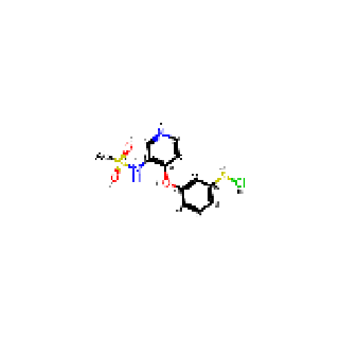 CC(=O)S(=O)(=O)Nc1cnccc1Oc1cccc(SCl)c1